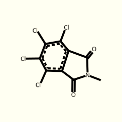 CN1C(=O)c2c(Cl)c(Cl)c(Cl)c(Cl)c2C1=O